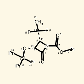 CC(C)OC(=O)N1C(=O)[C@H](O[Si](C(C)C)(C(C)C)C(C)C)[C@@H]1C(C)(F)F